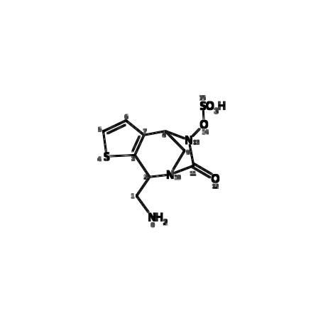 NCC1c2sccc2C2CN1C(=O)N2OS(=O)(=O)O